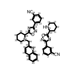 N#Cc1cccc(-c2noc(C3CCCCN3)n2)c1.N#Cc1cccc(-c2noc(C3CCCCN3Cc3ccc4ccccc4n3)n2)c1